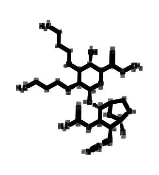 CCCCOC1[C@H](O)C(C(=O)OC)O[C@@H](O[C@@H]2C3CO[C@H](O3)[C@@H](N=[N+]=[N-])C2OC(C)=O)[C@H]1OCCCC